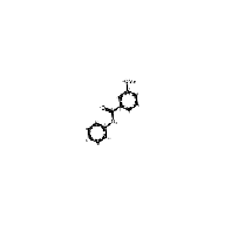 COc1cccc(C(=O)Oc2ccccc2)c1